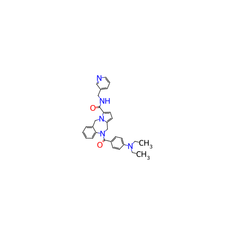 CCN(CC)c1ccc(C(=O)N2Cc3ccc(C(=O)NCc4cccnc4)n3Cc3ccccc32)cc1